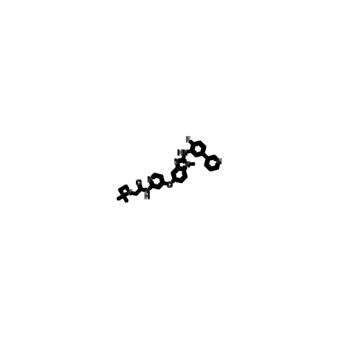 Cn1c(Nc2cc(-c3cccnc3)ccc2F)nc2cc(Oc3ccnc(NC(=O)CN4CCC4(C)C)c3)ccc21